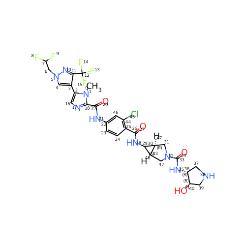 Cn1c(-c2cn(CC(F)F)nc2C(F)(F)F)cnc1C(=O)Nc1ccc(C(=O)NC2[C@H]3CN(C(=O)N[C@@H]4CNC[C@H]4O)C[C@@H]23)c(Cl)c1